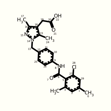 Cc1cc(C)c(C(=O)Nc2ccc(Cn3nc(C)c(CC(=O)O)c3C)cc2)c(Cl)c1